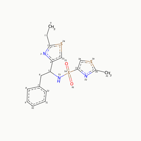 CCc1nc(C(Cc2cc[c]cc2)NS(=O)(=O)c2csc(C)n2)cs1